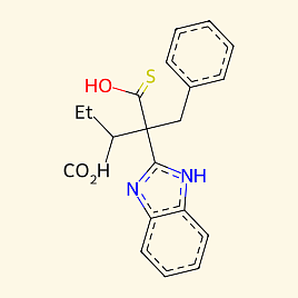 CCC(C(=O)O)C(Cc1ccccc1)(C(O)=S)c1nc2ccccc2[nH]1